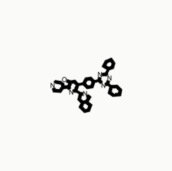 c1ccc(-c2nc(-c3ccccc3)nc(-c3ccc(-c4cc5oc6cnccc6c5nc4-c4cc5ccccc5cn4)cc3)n2)cc1